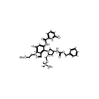 COCCn1ncc2c(N3C[C@@H](NC(=O)OCc4ccccc4)C[C@H]3CO[Si](C)(C)C(C)(C)C)c(NC(=O)c3cccc(Cl)n3)cc(F)c21